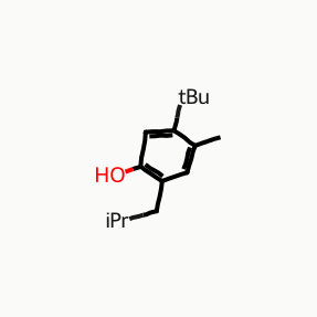 Cc1cc(CC(C)C)c(O)cc1C(C)(C)C